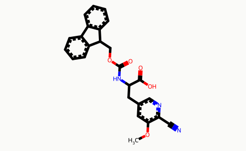 COc1cc(CC(NC(=O)OCC2c3ccccc3-c3ccccc32)C(=O)O)cnc1C#N